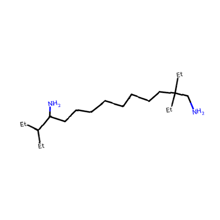 CCC(CC)C(N)CCCCCCCCC(CC)(CC)CN